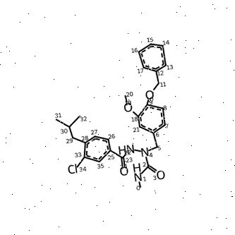 CNC(=O)N(Cc1ccc(OCc2ccccc2)c(OC)c1)NC(=O)c1ccc(CC(C)C)c(Cl)c1